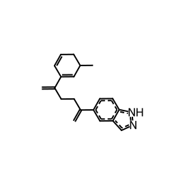 C=C(CCC(=C)c1ccc2[nH]ncc2c1)C1=CC(C)CC=C1